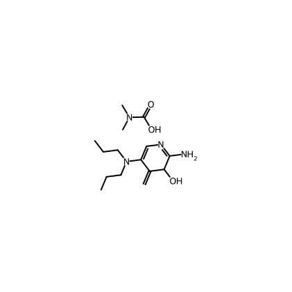 C=C1C(N(CCC)CCC)=CN=C(N)C1O.CN(C)C(=O)O